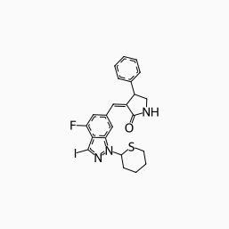 O=C1NCC(c2ccccc2)C1=Cc1cc(F)c2c(I)nn(C3CCCCS3)c2c1